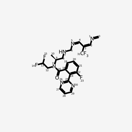 C=N/C=C(\C=N/CNC[C@H](C)N(CC(F)F)C(=O)c1cccc(F)c1-c1ncccn1)C(F)(F)F